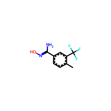 Cc1ccc(C(N)=NO)cc1C(F)(F)F